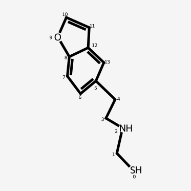 SCNCCc1ccc2occc2c1